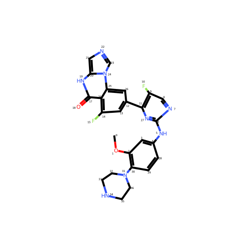 COc1cc(Nc2ncc(F)c(-c3cc(F)c4c(=O)[nH]c5cncn5c4c3)n2)ccc1N1CCNCC1